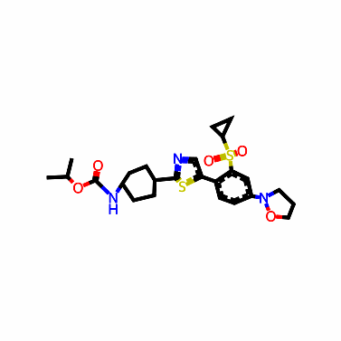 CC(C)OC(=O)NC1CCC(c2ncc(-c3ccc(N4CCCO4)cc3S(=O)(=O)C3CC3)s2)CC1